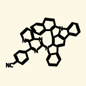 N#Cc1ccc(-c2nc(-n3c4ccccc4c4cc5c6ccccc6n6c7ccc8ccccc8c7c(c43)c56)nc3cccnc23)cc1